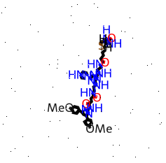 COc1ccc(-c2cc(-c3ccc(OC)cc3)nc(NC(=O)CCC(=O)NCCNc3nc(NCCNC(=O)CCCC[C@@H]4SC[C@@H]5NC(=O)N[C@@H]54)nc(N4CCNCC4)n3)n2)cc1